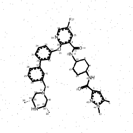 Cc1cc(C(=O)NC2CCC(NC(=O)c3cc(F)cnc3Oc3cccc(-c4cccc(CN5C[C@@H](C)N[C@@H](C)C5)c4)c3)CC2)nn1C